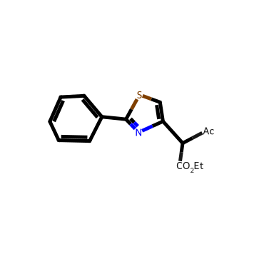 CCOC(=O)C(C(C)=O)c1csc(-c2ccccc2)n1